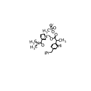 CC(C)Cc1ccc(C(C)C(=O)OC[n+]2cccc(C(=O)N(C)C)c2)cc1.CS(=O)(=O)[O-].I